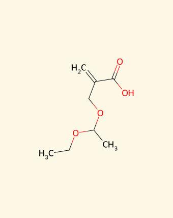 C=C(COC(C)OCC)C(=O)O